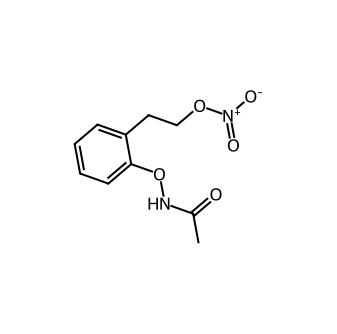 CC(=O)NOc1ccccc1CCO[N+](=O)[O-]